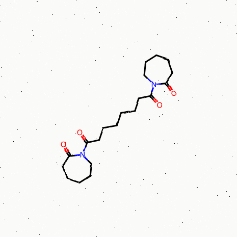 O=C(CCCCCCC(=O)N1CCCCCC1=O)N1CCCCCC1=O